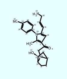 Cc1c(C(=O)CN2C3CCC2[C@@H](O)C3)cc(/C=C/CN)n1-c1ccc(C#N)cc1